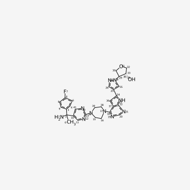 CC(N)(c1ccc(F)cc1)c1cnc(N2CCN(c3ncnc4[nH]c(-c5cnn(C6COC[C@@H]6O)c5)cc34)CC2)nc1